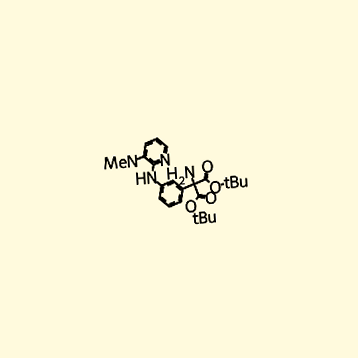 CNc1cccnc1Nc1cccc(C(N)(C(=O)OC(C)(C)C)C(=O)OC(C)(C)C)c1